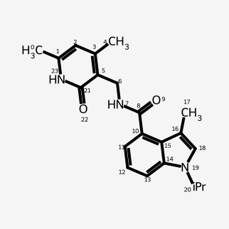 Cc1cc(C)c(CNC(=O)c2cccc3c2c(C)cn3C(C)C)c(=O)[nH]1